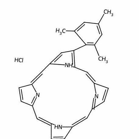 Cc1cc(C)c(-c2cc3cc4nc(cc5ccc(cc6nc(cc2[nH]3)C=C6)[nH]5)C=C4)c(C)c1.Cl